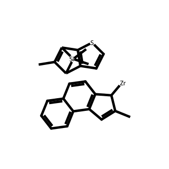 CC1=C2c3sccc3C1[Si]2(C)C.CC1=Cc2c(ccc3ccccc23)[CH]1[Zr]